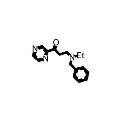 CCN(CCC(=O)c1cnccn1)Cc1ccccc1